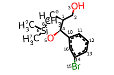 C[C@@H](CO)[C@H](O[Si](C)(C)C)c1cccc(Br)c1